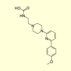 COc1ccc(-c2cccc(N3CCN(CCNC(=O)O)CC3)n2)cc1